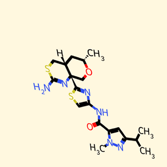 CC(C)c1cc(C(=O)Nc2csc([C@]34CO[C@@H](C)C[C@H]3CSC(N)=N4)n2)n(C)n1